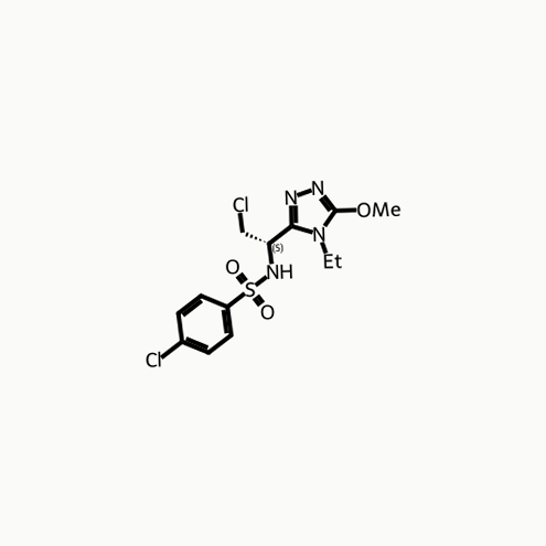 CCn1c(OC)nnc1[C@@H](CCl)NS(=O)(=O)c1ccc(Cl)cc1